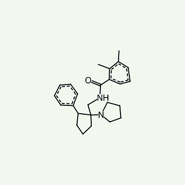 Cc1cccc(C(=O)NCC2(N3CCCC3)CCCC2c2ccccc2)c1C